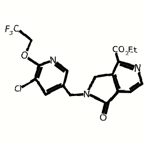 CCOC(=O)c1nccc2c1CN(Cc1cnc(OCC(F)(F)F)c(Cl)c1)C2=O